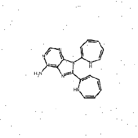 Nc1ncnc2c1nc(C1=CC=CC=CN1)n2C1=CC=CC=CN1